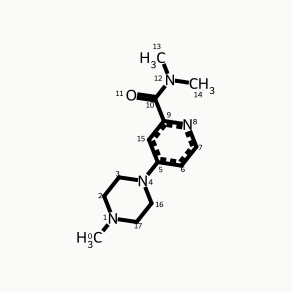 CN1CCN(c2ccnc(C(=O)N(C)C)c2)CC1